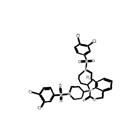 Cc1cccc2c1[N+](C1CCN(S(=O)(=O)c3ccc(Cl)c(Cl)c3)CC1)(C1CCN(S(=O)(=O)c3ccc(Cl)c(Cl)c3)CC1)C(=O)OC2